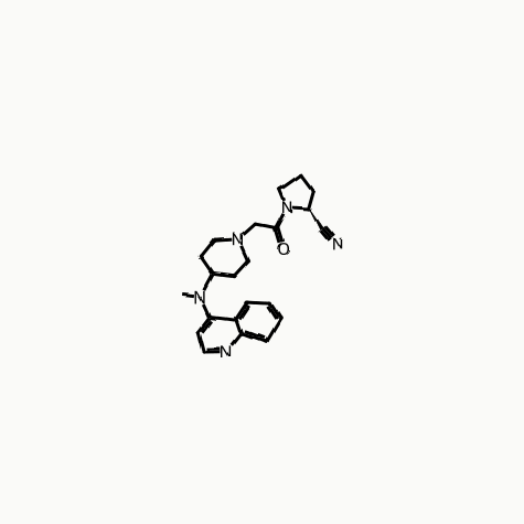 CN(c1ccnc2ccccc12)C1CCN(CC(=O)N2CCC[C@H]2C#N)CC1